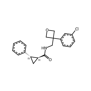 O=C(NCC1(c2cccc(Cl)c2)COC1)[C@H]1C[C@@H]1c1ccccc1